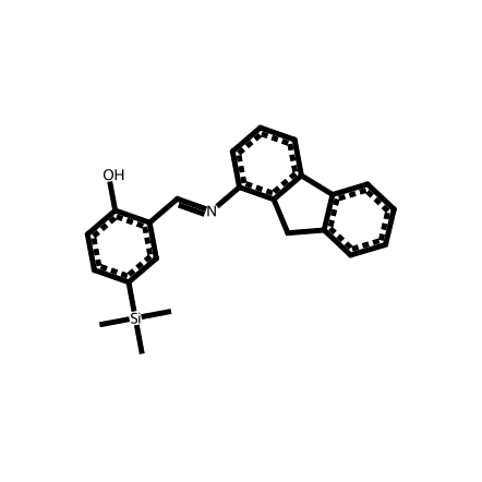 C[Si](C)(C)c1ccc(O)c(C=Nc2cccc3c2Cc2ccccc2-3)c1